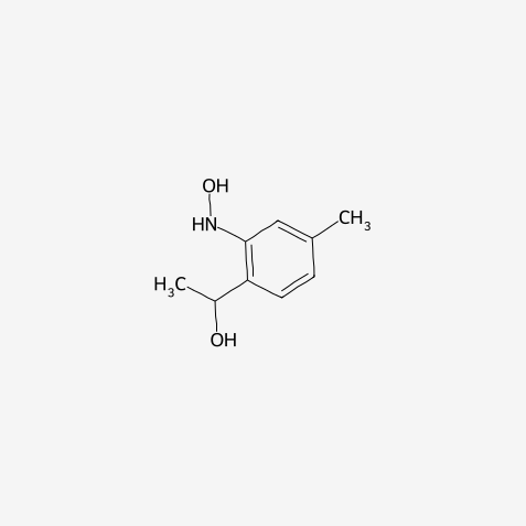 Cc1ccc(C(C)O)c(NO)c1